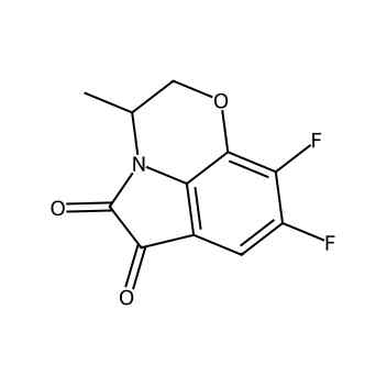 CC1COc2c(F)c(F)cc3c2N1C(=O)C3=O